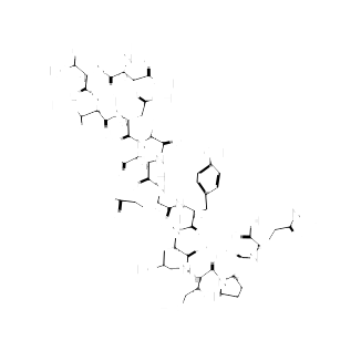 CC[C@H](C)[C@H](NC(=O)[C@H](CC(C)C)NC(=O)[C@H](Cc1ccc(O)cc1)NC(=O)[C@H](CCC(=O)O)NC(=O)[C@H](CC(=O)O)NC(=O)[C@H](C)NC(=O)[C@H](CC(=O)O)NC(=O)[C@@H](NC(=O)[C@@H](NC(=O)[C@@H](N)CC(=O)O)C(C)C)C(C)C)C(=O)N1CCC[C@H]1C(=O)N[C@@H](CCC(N)=O)C(=O)O